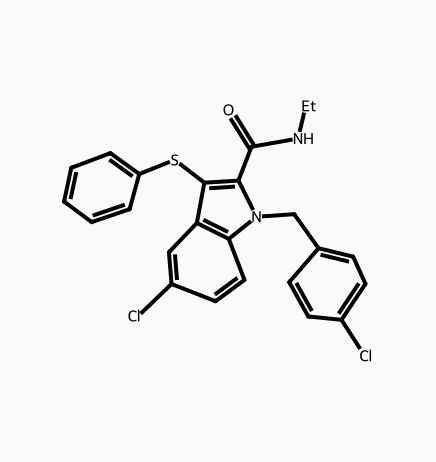 CCNC(=O)c1c(Sc2ccccc2)c2cc(Cl)ccc2n1Cc1ccc(Cl)cc1